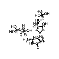 C#C[C@]1(C)C[C@@H](n2cnc3c(=O)[nH]c(N)nc32)C[C@@H]1O.O=P(O)(O)O.O=P(O)(O)O.O=P(O)(O)O